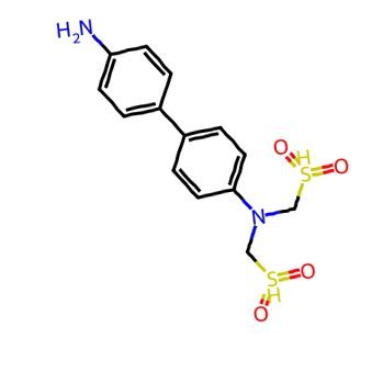 Nc1ccc(-c2ccc(N(C[SH](=O)=O)C[SH](=O)=O)cc2)cc1